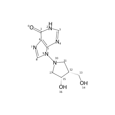 O=c1[nH]cnc2c1ncn2N1C[C@H](CO)[C@H](O)C1